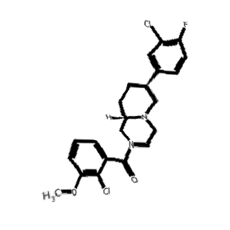 COc1cccc(C(=O)N2CCN3C[C@H](c4ccc(F)c(Cl)c4)CC[C@H]3C2)c1Cl